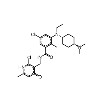 CCN(c1cc(Cl)cc(C(=O)NCc2c(Cl)[nH]c(C)cc2=O)c1C)[C@H]1CC[C@H](N(C)C)CC1